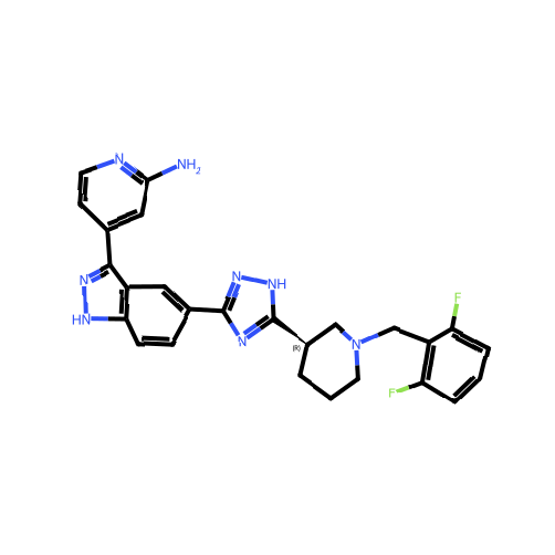 Nc1cc(-c2n[nH]c3ccc(-c4n[nH]c([C@@H]5CCCN(Cc6c(F)cccc6F)C5)n4)cc23)ccn1